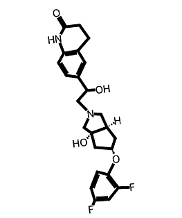 O=C1CCc2cc(C(O)CN3C[C@H]4C[C@H](Oc5ccc(F)cc5F)C[C@@]4(O)C3)ccc2N1